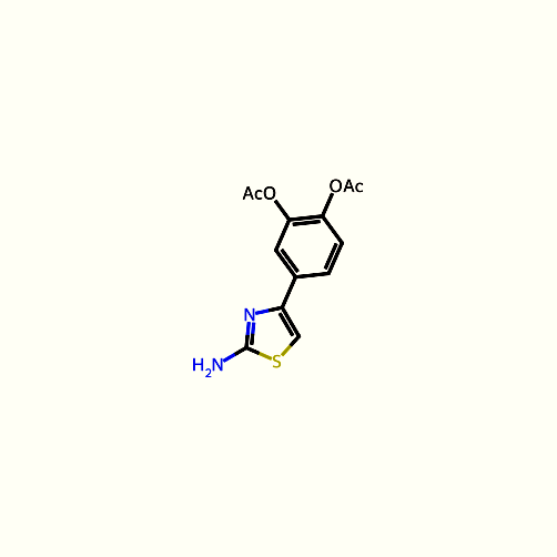 CC(=O)Oc1ccc(-c2csc(N)n2)cc1OC(C)=O